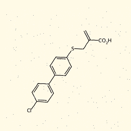 C=C(CSc1ccc(-c2ccc(Cl)cc2)cc1)C(=O)O